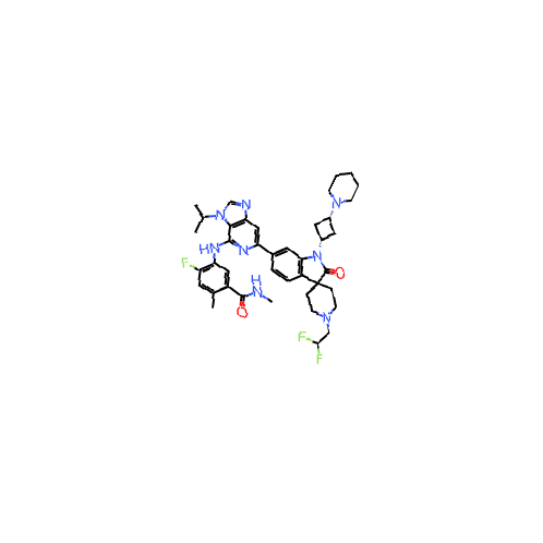 CNC(=O)c1cc(Nc2nc(-c3ccc4c(c3)N([C@H]3C[C@@H](N5CCCCC5)C3)C(=O)C43CCN(CC(F)F)CC3)cc3ncn(C(C)C)c23)c(F)cc1C